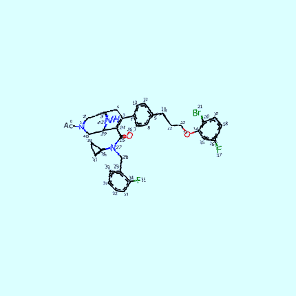 CC(=O)N1CC2CC(c3ccc(CCCOc4cc(F)ccc4Br)cc3)=C(C(=O)N(Cc3ccccc3F)C3CC3)C(C1)N2